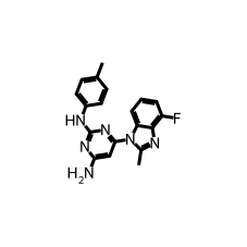 Cc1ccc(Nc2nc(N)cc(-n3c(C)nc4c(F)cccc43)n2)cc1